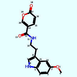 COc1ccc2[nH]cc(CCNC(=O)c3ccc(=O)oc3)c2c1